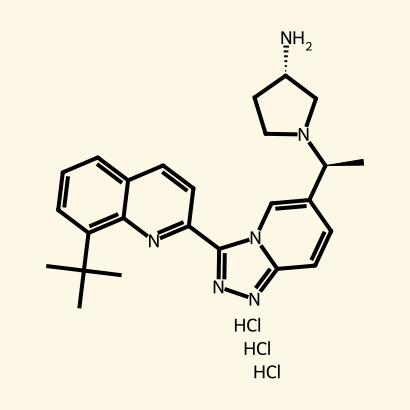 C[C@@H](c1ccc2nnc(-c3ccc4cccc(C(C)(C)C)c4n3)n2c1)N1CC[C@H](N)C1.Cl.Cl.Cl